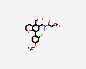 C=CC(=O)NCc1cc(-c2ccc(OC(F)(F)F)cc2F)c2c(c1CO)CCCO2